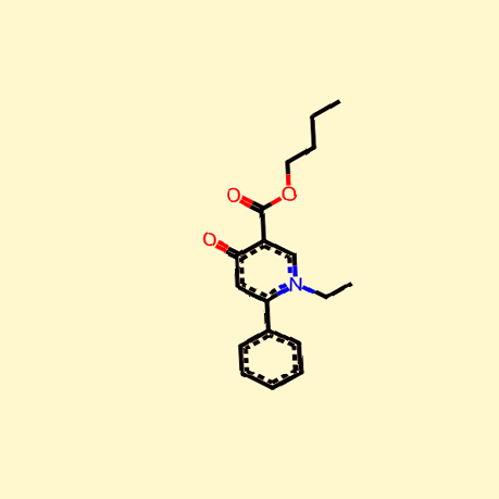 CCCCOC(=O)c1cn(CC)c(-c2ccccc2)cc1=O